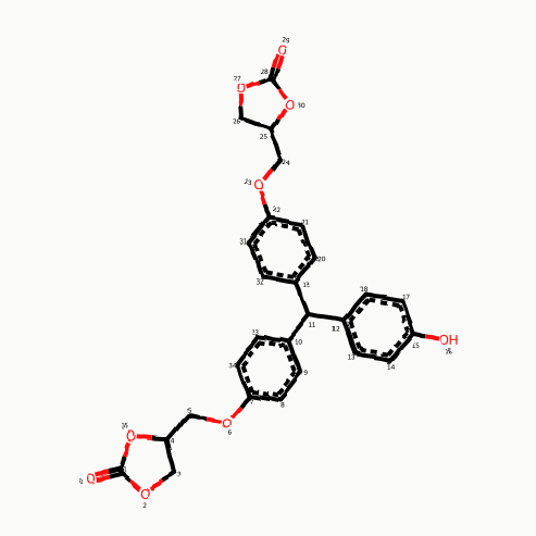 O=C1OCC(COc2ccc(C(c3ccc(O)cc3)c3ccc(OCC4COC(=O)O4)cc3)cc2)O1